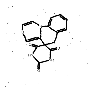 O=C1NC(=O)C2(Cc3ccccc3N3C=COC=C32)C(=O)N1